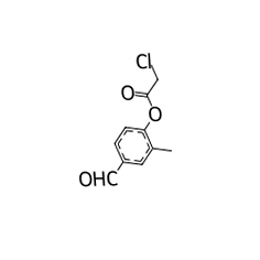 Cc1cc(C=O)ccc1OC(=O)CCl